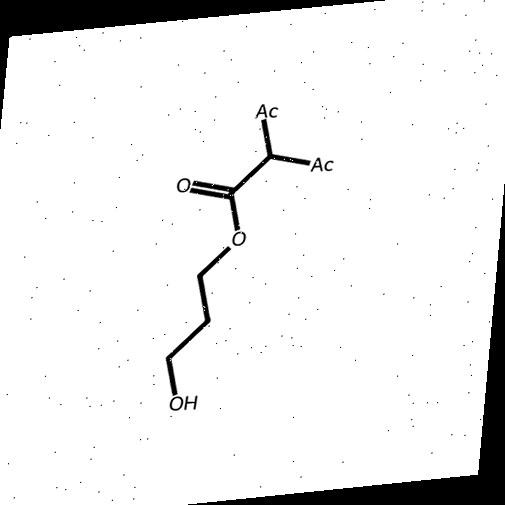 CC(=O)C(C(C)=O)C(=O)OCCCO